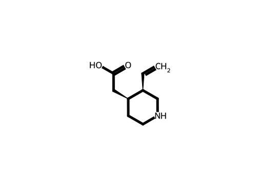 C=C[C@H]1CNCC[C@H]1CC(=O)O